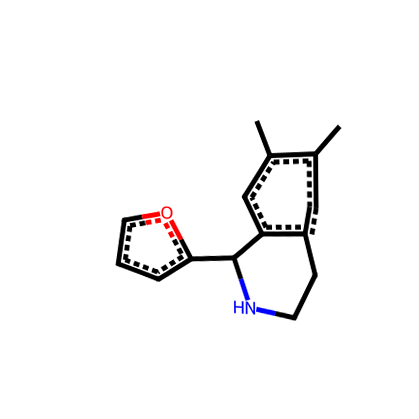 Cc1cc2c(cc1C)C(c1ccco1)NCC2